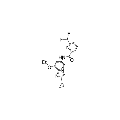 CCOc1cc(NC(=O)c2cccc(C(F)F)n2)cn2cc(C3CC3)nc12